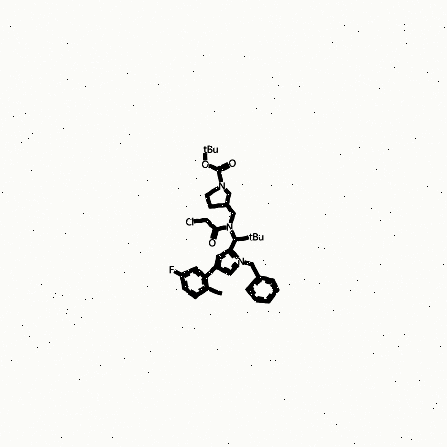 Cc1ccc(F)cc1-c1cc(C(N(CC2CCN(C(=O)OC(C)(C)C)C2)C(=O)CCl)C(C)(C)C)n(Cc2ccccc2)c1